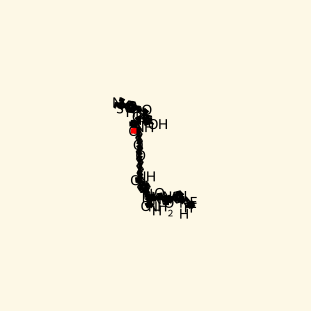 Cc1ncsc1-c1ccc(CNC(=O)C2C[C@@H](O)CN2C(=O)[C@@H](NC(=O)CCCOCCOCCCCCNC(=O)c2ccc(-n3cc(NC(=O)c4coc(-c5ccnc(NCC(F)(F)F)c5)n4)c(C(N)=O)n3)cc2)C(C)(C)C)cc1